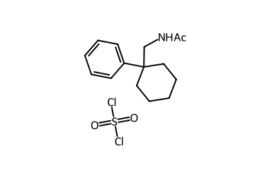 CC(=O)NCC1(c2ccccc2)CCCCC1.O=S(=O)(Cl)Cl